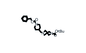 CC(C)(C)OC(=O)N1CC2(CN(CC3CCN(C(=O)OCc4ccccc4)CC3)C2)C1